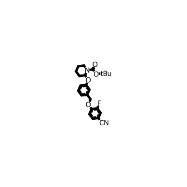 CC(C)(C)OC(=O)N1CCCCC1Oc1cccc(COc2ccc(C#N)cc2F)c1